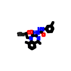 CC1=NC(NC(=O)Nc2cccc(C)c2)C(=O)N(CC(=O)C(C)(C)C)c2c(C)cccc21